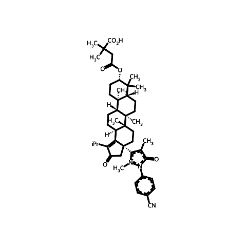 Cc1c([C@@]23CC[C@]4(C)[C@H](CC[C@@H]5[C@@]6(C)CC[C@H](OC(=O)CC(C)(C)C(=O)O)C(C)(C)[C@@H]6CC[C@]54C)C2=C(C(C)C)C(=O)C3)n(C)n(-c2ccc(C#N)cc2)c1=O